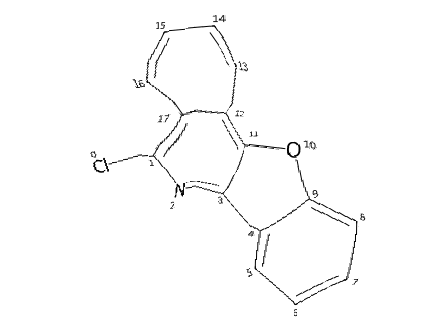 Clc1nc2c3ccccc3oc2c2ccccc12